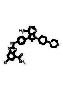 NC(=O)c1cc(Cl)cc2nc(Nc3ccc(-c4nn(C5CCC(N6CCOCC6)CC5)c5ncnc(N)c45)cc3)oc12